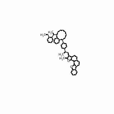 C=Cc1ccccc1C(=C)c1ccccccc(-c2ccc(C(=C)/C=c3\c(=C)oc4c3ccc3ccc5c6ccccc6oc5c34)cc2)c2ccccc12